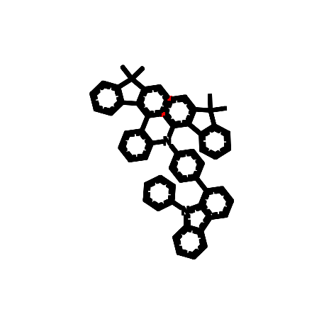 CC1(C)c2ccccc2-c2c(-c3ccccc3N(c3ccc(-c4cccc5c6ccccc6n(-c6ccccc6)c45)cc3)c3cccc4c3-c3ccccc3C4(C)C)cccc21